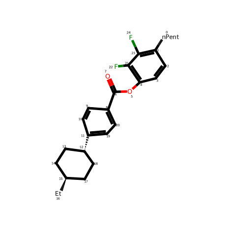 CCCCCc1ccc(OC(=O)c2ccc([C@H]3CC[C@H](CC)CC3)cc2)c(F)c1F